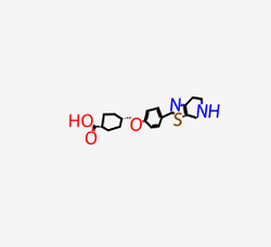 O=C(O)[C@H]1CC[C@H](COc2ccc(-c3nc4c(s3)CNCC4)cc2)CC1